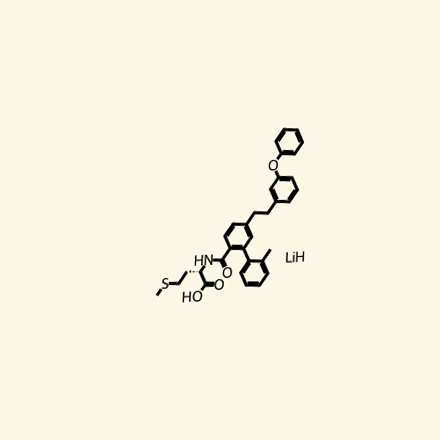 CSCC[C@H](NC(=O)c1ccc(CCc2cccc(Oc3ccccc3)c2)cc1-c1ccccc1C)C(=O)O.[LiH]